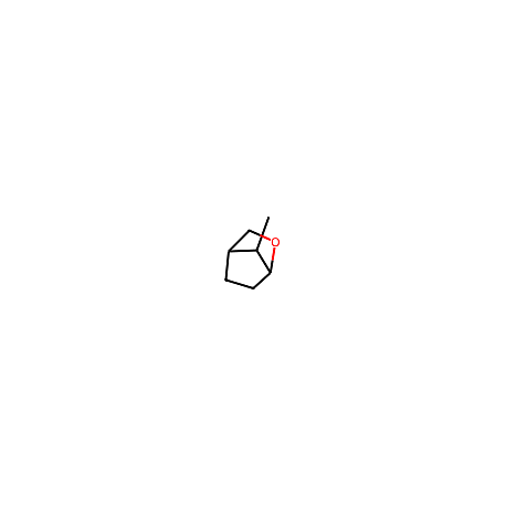 CC1C2CCC1OC2